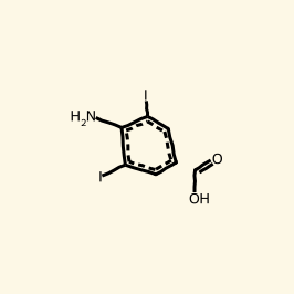 Nc1c(I)cccc1I.O=CO